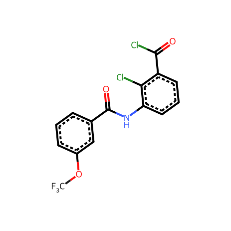 O=C(Nc1cccc(C(=O)Cl)c1Cl)c1cccc(OC(F)(F)F)c1